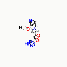 COCc1cc(C(=O)C=C(O)c2nn[nH]n2)cn1Cc1ccncc1